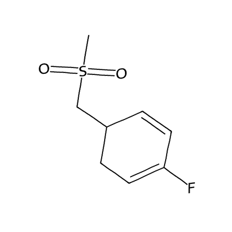 CS(=O)(=O)CC1C=CC(F)=CC1